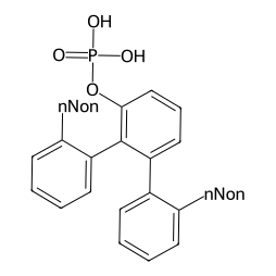 CCCCCCCCCc1ccccc1-c1cccc(OP(=O)(O)O)c1-c1ccccc1CCCCCCCCC